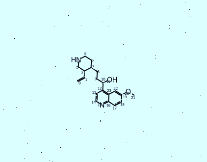 C=C[C@H]1CNCC[C@H]1CC[C@@H](O)c1ccnc2ccc(OC)cc12